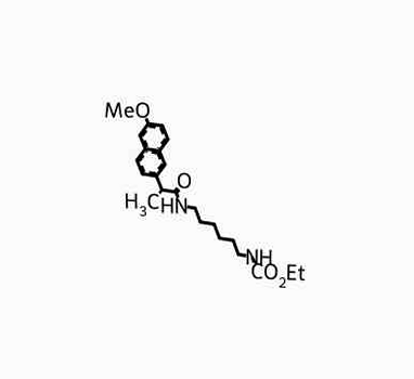 CCOC(=O)NCCCCCCNC(=O)[C@@H](C)c1ccc2cc(OC)ccc2c1